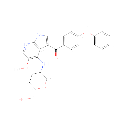 CCOc1cnc2[nH]cc(C(=O)c3ccc(Oc4ccccc4)cc3)c2c1N[C@@H]1CC[C@@H](CO)OC1